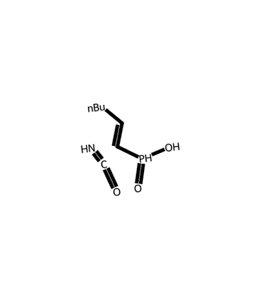 CCCCC=C[PH](=O)O.N=C=O